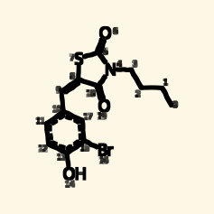 CCCCN1C(=O)SC(=Cc2ccc(O)c(Br)c2)C1=O